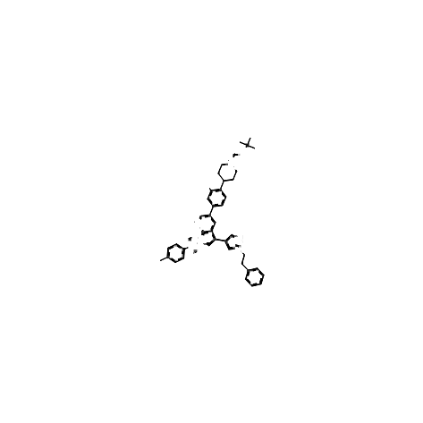 Cc1ccc(S(=O)(=O)n2cc(-c3cnn(CCc4ccccc4)c3)c3cc(-c4ccc(C5CCN(C(=O)OC(C)(C)C)CC5)c(F)c4)cnc32)cc1